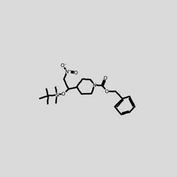 CC(C)(C)[Si](C)(C)OC(C[N+](=O)[O-])C1CCN(C(=O)OCc2ccccc2)CC1